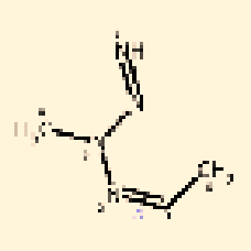 C/C=N\N(C)N=N